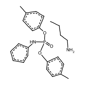 CCCCN.Cc1ccc(OP(=O)(Nc2ccccc2)Oc2ccc(C)cc2)cc1